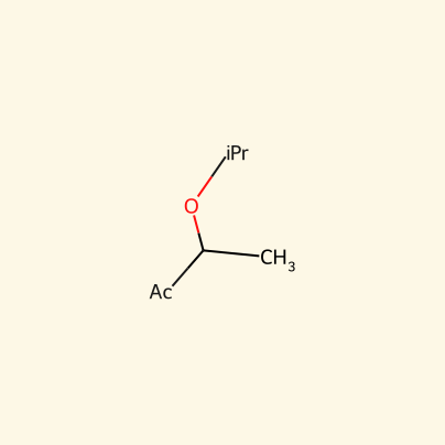 CC(=O)C(C)OC(C)C